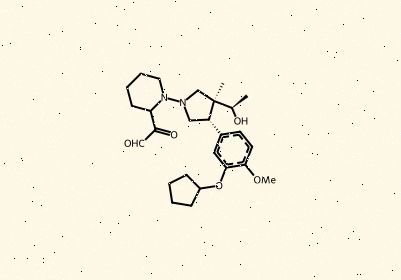 COc1ccc([C@@H]2CN(N3CCCCC3C(=O)C=O)C[C@@]2(C)[C@@H](C)O)cc1OC1CCCC1